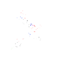 C=CCOC(C)=O.O=c1[nH]c2ccc(C3=NOC(CN4CCC(O)(Cc5ccc(F)cc5)CC4)C3)cc2o1